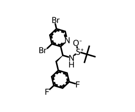 CC(C)(C)[S+]([O-])N[C@@H](Cc1cc(F)cc(F)c1)c1ncc(Br)cc1Br